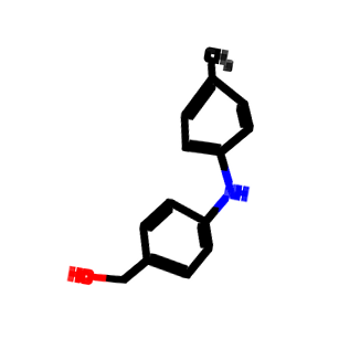 Cc1ccc(Nc2ccc(CO)cc2)cc1